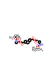 CC(C)(C)OC(=O)N[C@@H]1CC[C@H](CC(=O)OCC(=O)c2ccc3c(c2)CCc2cc(C(=O)COC(=O)[C@@H]4CCCN4C(=O)OC(C)(C)C)ccc2-3)C1